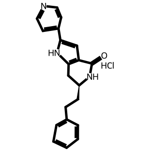 Cl.O=C1N[C@@H](CCc2ccccc2)Cc2[nH]c(-c3ccncc3)cc21